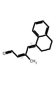 CC(=C/C=O)/C=C1\CCCc2ccccc21